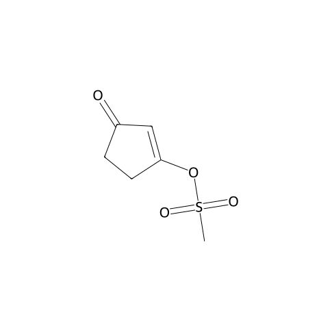 CS(=O)(=O)OC1=CC(=O)CC1